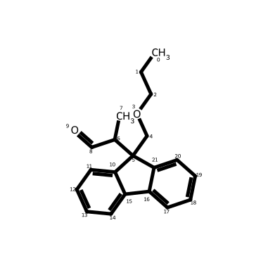 CCCOCC1(C(C)C=O)c2ccccc2-c2ccccc21